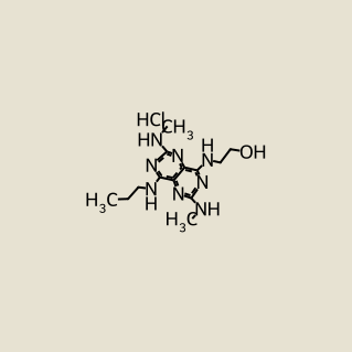 CCCNc1nc(NC)nc2c(NCCO)nc(NC)nc12.Cl